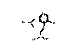 CCCN(/C=N/c1ccncc1O)CCC.CN(C)C(=O)O